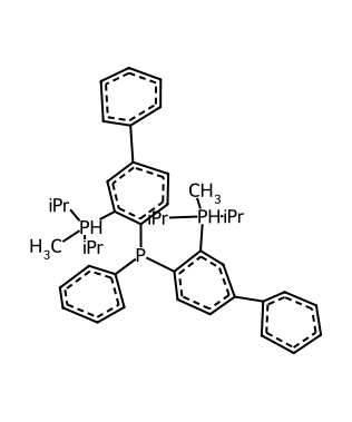 CC(C)[PH](C)(c1cc(-c2ccccc2)ccc1P(c1ccccc1)c1ccc(-c2ccccc2)cc1[PH](C)(C(C)C)C(C)C)C(C)C